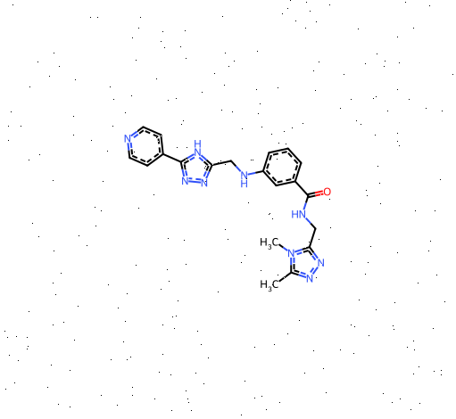 Cc1nnc(CNC(=O)c2cccc(NCc3nnc(-c4ccncc4)[nH]3)c2)n1C